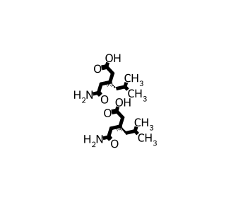 CC(C)C[C@@H](CC(N)=O)CC(=O)O.CC(C)C[C@H](CC(N)=O)CC(=O)O